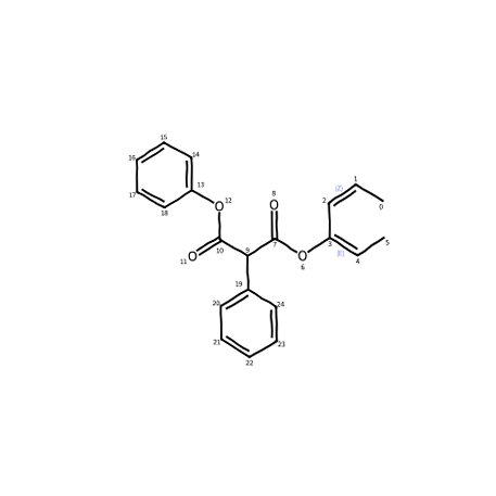 C/C=C\C(=C/C)OC(=O)C(C(=O)Oc1ccccc1)c1ccccc1